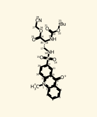 Cn1c2ccccc2c(=O)c2cc(S(=O)(=O)NC[C@@H](NC(=O)OC(C)(C)C)C(=O)OCC#N)ccc21